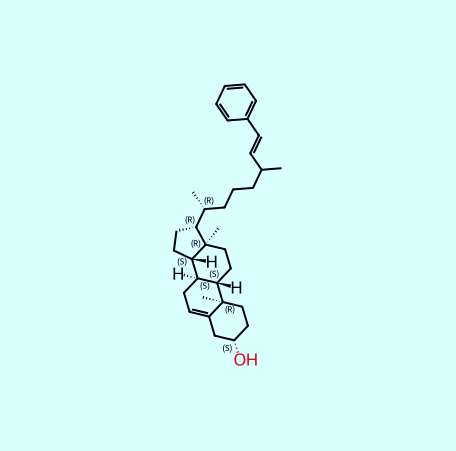 CC(C=Cc1ccccc1)CCC[C@@H](C)[C@H]1CC[C@H]2[C@@H]3CC=C4C[C@@H](O)CC[C@]4(C)[C@H]3CC[C@]12C